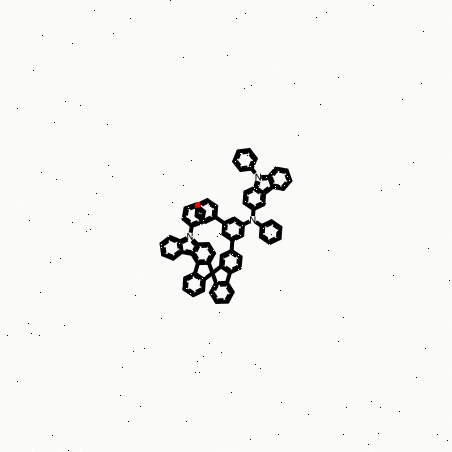 c1ccc(-c2cc(-c3ccc4c(c3)C3(c5ccccc5-4)c4ccccc4-c4c3ccc3c4c4ccccc4n3-c3ccccc3)cc(N(c3ccccc3)c3ccc4c(c3)c3ccccc3n4-c3ccccc3)c2)cc1